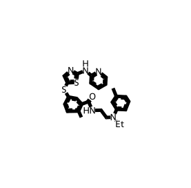 CCN(CCNC(=O)c1cc(Sc2cnc(Nc3ccccn3)s2)ccc1C)c1cccc(C)c1